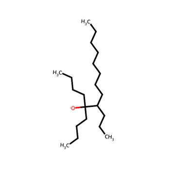 CCCCCCCCC(CCC)C([O])(CCCC)CCCC